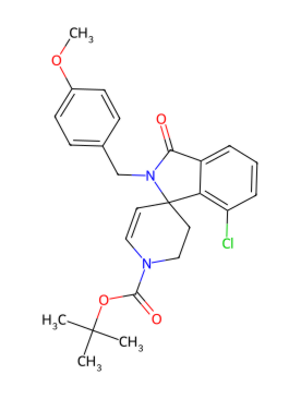 COc1ccc(CN2C(=O)c3cccc(Cl)c3C23C=CN(C(=O)OC(C)(C)C)CC3)cc1